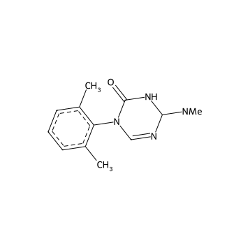 CNC1N=CN(c2c(C)cccc2C)C(=O)N1